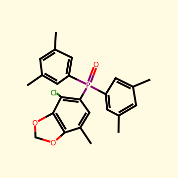 Cc1cc(C)cc(P(=O)(c2cc(C)cc(C)c2)c2cc(C)c3c(c2Cl)OCO3)c1